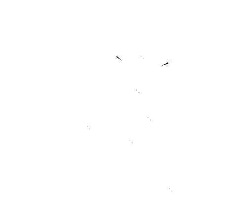 COC[C@@H]1C[C@@H]2CN(c3nc(OCC4CCCN4C)nc4c3CCN(c3cccc5cccc(Cl)c35)C4)C[C@H]1N2